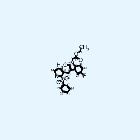 CCOC(=O)Cn1c(C)c(Cc2cccnc2S(=O)(=O)c2ccccc2)c2cc(F)ccc21